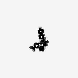 O=C(O)C1CCN(CCN([C@]2(C(=O)O)C[C@H]2c2ccccc2)S(=O)(=O)c2ccc(-c3ccc(Cl)cc3)cc2)CC1